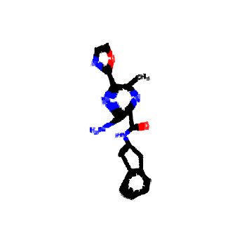 Cc1nc(C(=O)NC2Cc3ccccc3C2)c(N)nc1-c1ncco1